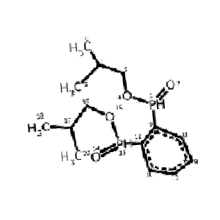 CC(C)CO[PH](=O)c1ccccc1[PH](=O)OCC(C)C